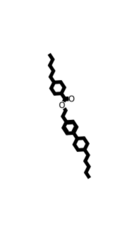 CCCCCC1CCC(C(=O)OCCc2ccc(C3CCC(CCCCC)CC3)cc2)CC1